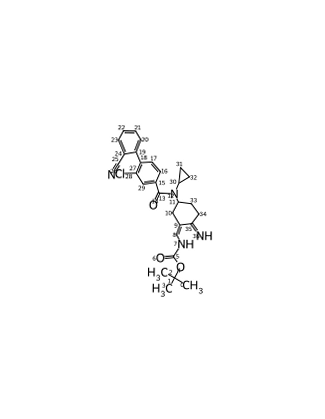 CC(C)(C)OC(=O)N/C=C1/CC(N(C(=O)c2ccc(-c3ccccc3C#N)c(Cl)c2)C2CC2)CCC1=N